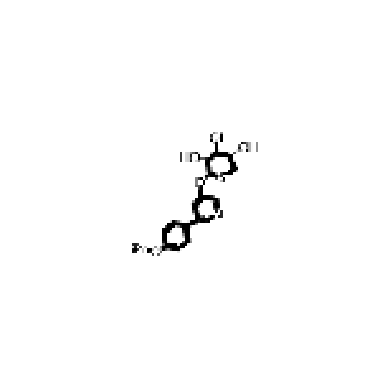 CC(C)Oc1ccc(-c2cncc(O[C@@H]3SC[C@@H](O)[C@H](O)[C@H]3O)c2)cc1